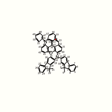 CC1(C)c2ccccc2-c2ccc(N(c3ccc4c(c3)C(C)(C)c3ccccc3-4)c3ccc4cccc5c4c3Oc3cccc(N(c4ccccc4)c4ccccc4)c3-5)cc21